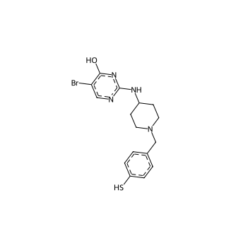 Oc1nc(NC2CCN(Cc3ccc(S)cc3)CC2)ncc1Br